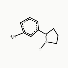 Nc1cccc(N2CCC[S+]2[O-])c1